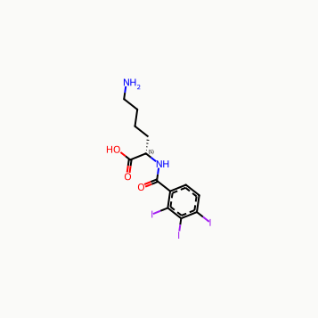 NCCCC[C@H](NC(=O)c1ccc(I)c(I)c1I)C(=O)O